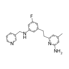 Cc1cc(N)nc(CCc2cc(F)cc(NCc3cccnc3)c2)c1